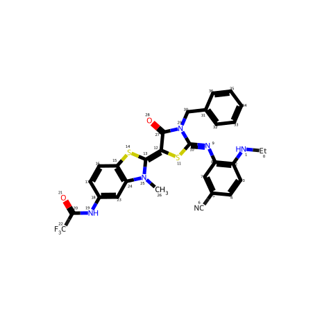 CCNc1ccc(C#N)cc1N=C1SC(=C2Sc3ccc(NC(=O)C(F)(F)F)cc3N2C)C(=O)N1Cc1ccccc1